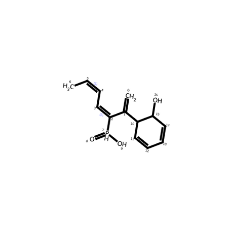 C=C(/C(=C\C=C/C)[PH](=O)O)C1C=CC=CC1O